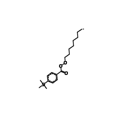 [CH2]CCCCCCCOOC(=O)c1ccc([Si](C)(C)C)cc1